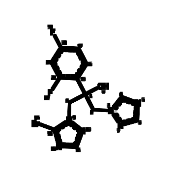 OC(Cn1cncn1)(Cn1ncnc1Br)c1ccc(F)cc1F